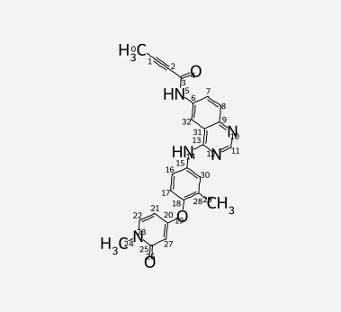 CC#CC(=O)Nc1ccc2ncnc(Nc3ccc(Oc4ccn(C)c(=O)c4)c(C)c3)c2c1